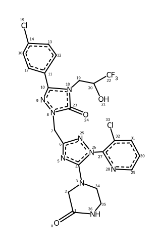 O=C1CN(c2nc(Cn3nc(-c4ccc(Cl)cc4)n(CC(O)C(F)(F)F)c3=O)nn2-c2ncccc2Cl)CCN1